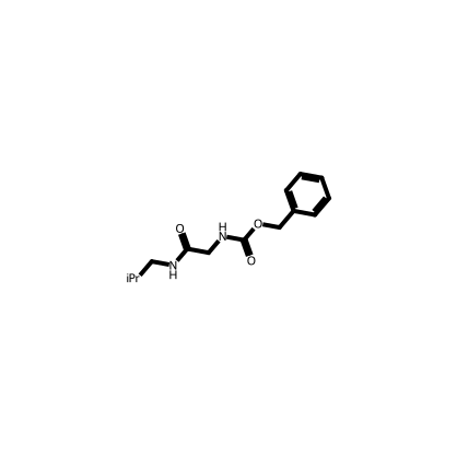 CC(C)CNC(=O)CNC(=O)OCc1ccccc1